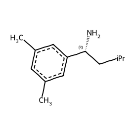 Cc1cc(C)cc([C@H](N)CC(C)C)c1